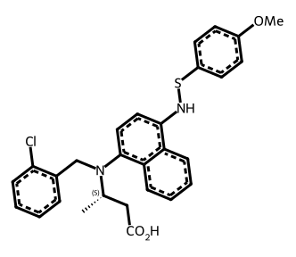 COc1ccc(SNc2ccc(N(Cc3ccccc3Cl)[C@@H](C)CC(=O)O)c3ccccc23)cc1